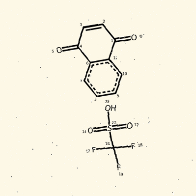 O=C1C=CC(=O)c2ccccc21.O=S(=O)(O)C(F)(F)F